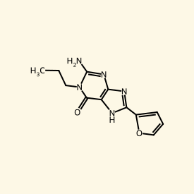 CCCn1c(N)nc2nc(-c3ccco3)[nH]c2c1=O